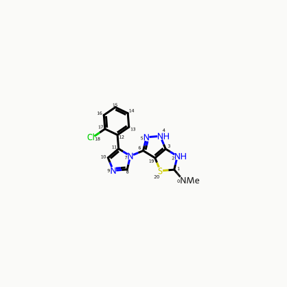 CNC1Nc2[nH]nc(-n3cncc3-c3ccccc3Cl)c2S1